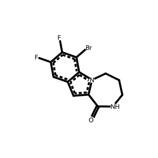 O=C1NCCCn2c1cc1cc(F)c(F)c(Br)c12